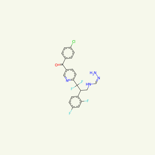 N/N=C\NCC(c1ccc(F)cc1F)C(F)(F)c1ccc(C(=O)c2ccc(Cl)cc2)cn1